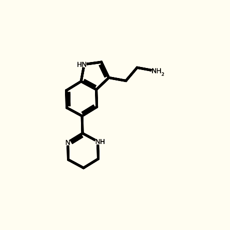 NCCc1c[nH]c2ccc(C3=NCCCN3)cc12